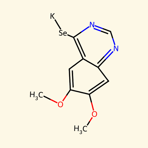 COc1cc2ncnc([Se][K])c2cc1OC